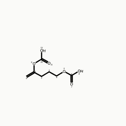 C=C(CCCOC(=O)O)OC(=O)O